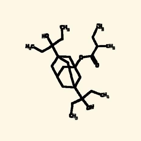 CCC(C)C(=O)OC12CC3CC(C(O)(CC)CC)(C1)CC(C(O)(CC)CC)(C3)C2